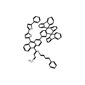 C=C/C=C(\S/C=C/C=C/c1ccccc1)c1c2ccccc2c(-c2ccc(-c3ccc(-c4ccccc4)s3)s2)c2cc(-c3ccc4c(c3)C3(c5ccccc5-c5ccccc53)c3ccccc3C43C4=CCCC=C4c4ccccc43)ccc12